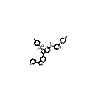 Cc1ccc(S(=O)(=O)n2cc(-c3ccn4ncc(-c5cccnc5)c4c3)c3cnc(Nc4ccnc(N5CCN(C)CC5)c4)nc32)cc1